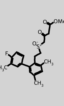 COC(=O)CC(=O)C[S+]([O-])CCc1c(C)cc(C)cc1-c1ccc(F)c(C)c1